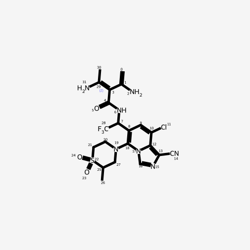 C=C(N)/C(C(=O)NC(c1cc(Cl)c2c(C#N)ncn2c1N1CCS(=O)(=O)C(C)C1)C(F)(F)F)=C(\C)N